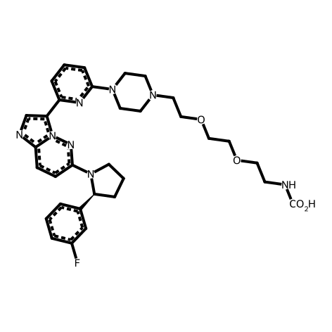 O=C(O)NCCOCCOCCN1CCN(c2cccc(-c3cnc4ccc(N5CCC[C@H]5c5cccc(F)c5)nn34)n2)CC1